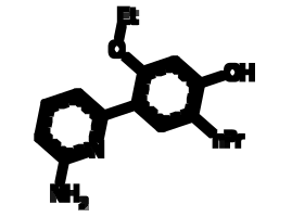 CCCc1cc(-c2cccc(N)n2)c(OCC)cc1O